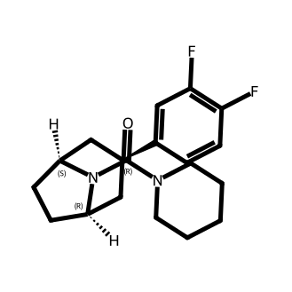 O=C(N1CCCCC1)N1[C@@H]2CC[C@H]1C[C@@H](c1ccc(F)c(F)c1)C2